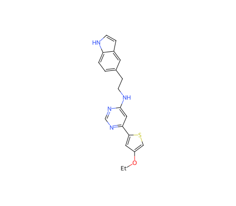 CCOc1csc(-c2cc(NCCc3ccc4[nH]ccc4c3)ncn2)c1